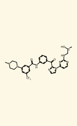 C[C@H](O)CNc1nccc(-n2ccnc2C(=O)c2cccc(NC(=O)c3cc(N4CCN(C)CC4)cc(C(F)(F)F)c3)c2)n1